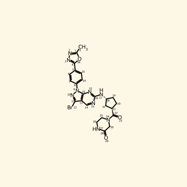 Cc1nnc(-c2ccc(-n3nc(Br)c4cnc(N[C@@H]5CC[C@@H](C(=O)N6CCNC(=O)C6)C5)nc43)cc2)o1